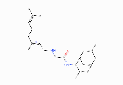 CC(C)=CCC/C(C)=C/CNCC(=O)NC1C(C)CC2CC(C)CC1C2